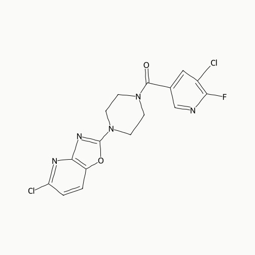 O=C(c1cnc(F)c(Cl)c1)N1CCN(c2nc3nc(Cl)ccc3o2)CC1